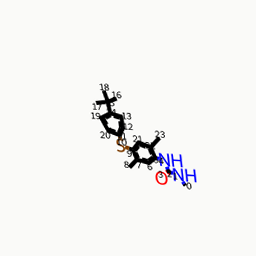 CNC(=O)Nc1cc(C)c(Sc2ccc(C(C)(C)C)cc2)cc1C